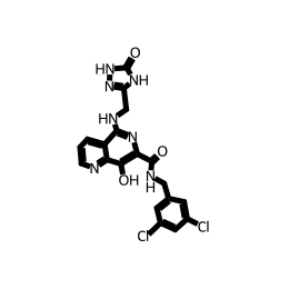 O=C(NCc1cc(Cl)cc(Cl)c1)c1nc(NCc2n[nH]c(=O)[nH]2)c2cccnc2c1O